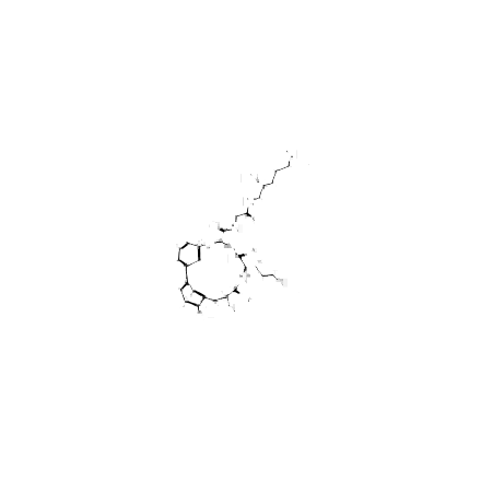 NCCC[C@H](N)CNC(=O)CNC(=O)[C@@H]1Cc2cccc(c2)-c2ccc(O)c(c2)C[C@H](N)C(=O)N[C@@H](CCCN)C(=O)N1